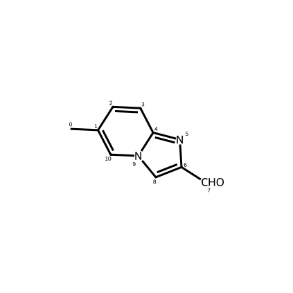 Cc1ccc2nc(C=O)cn2c1